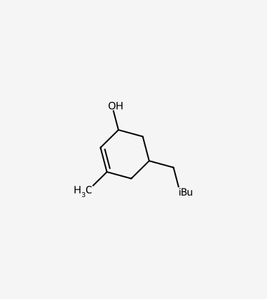 CCC(C)CC1CC(C)=CC(O)C1